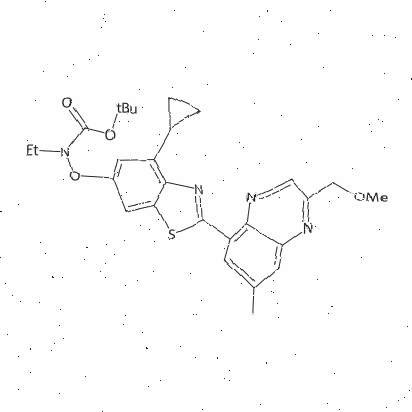 CCN(Oc1cc(C2CC2)c2nc(-c3cc(C)cc4nc(COC)cnc34)sc2c1)C(=O)OC(C)(C)C